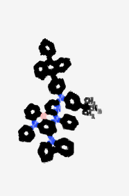 CC(C)(C)c1ccc(N(c2ccc(-c3c4ccccc4c(-c4ccccc4)c4ccccc34)cc2)c2ccc3c(n2)N(c2ccccc2)c2cc(-n4c5ccccc5c5ccccc54)cc4c2B3c2ccccc2N4c2ccccc2)cc1